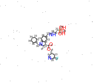 Cc1c(C(=O)OCc2cncc(F)c2)c2cc(CNCCCP(=O)(O)O)ccc2n1Cc1ccccc1